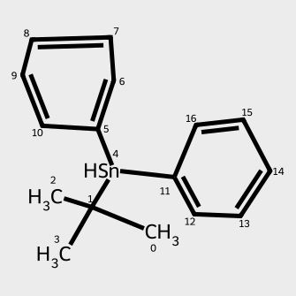 C[C](C)(C)[SnH]([c]1ccccc1)[c]1ccccc1